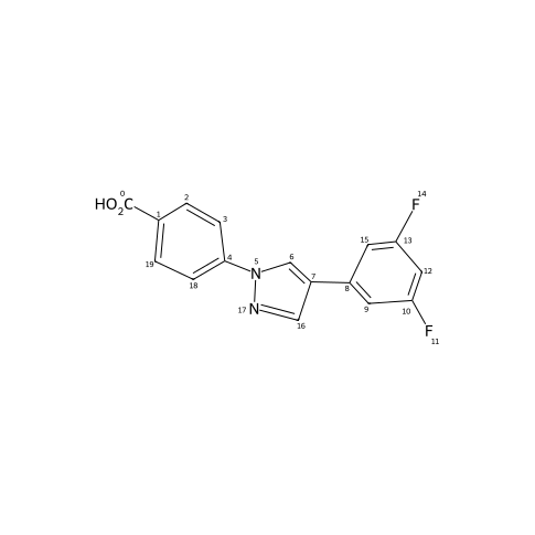 O=C(O)c1ccc(-n2cc(-c3cc(F)cc(F)c3)cn2)cc1